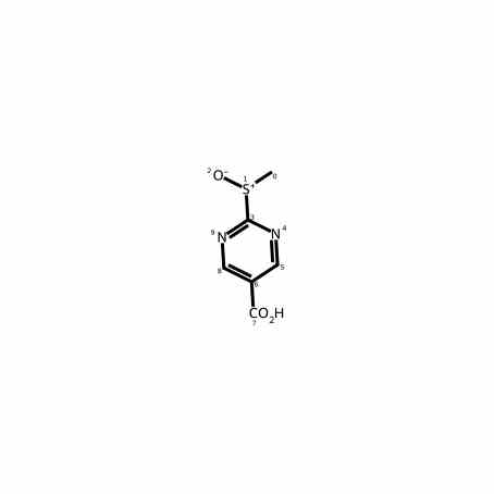 C[S+]([O-])c1ncc(C(=O)O)cn1